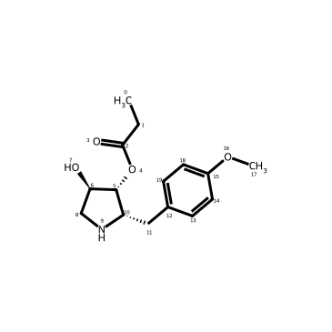 CCC(=O)O[C@H]1[C@H](O)CN[C@H]1Cc1ccc(OC)cc1